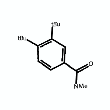 CNC(=O)c1ccc(C(C)(C)C)c(C(C)(C)C)c1